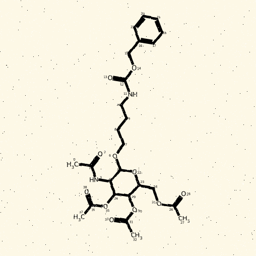 CC(=O)NC1C(OCCCCNC(=O)OCc2ccccc2)OC(COC(C)=O)C(OC(C)=O)C1OC(C)=O